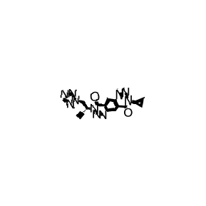 C#C[C@H](Cn1ncnn1)n1nnc2cc3c(=O)n(C4CC4)nnc3cc2c1=O